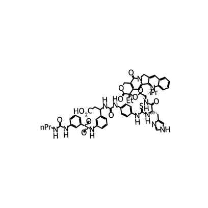 CCCNC(=O)Nc1cccc(S(=O)(=O)Nc2cccc(C(CC(=O)O)NC(=O)Nc3ccc(NC(=S)N[C@@H](Cc4c[nH]cn4)C(=O)N[C@H](C(=O)O[C@]4(CC)C(=O)OCc5c4cc4n(c5=O)Cc5cc6ccccc6nc5-4)C(C)C)cc3)c2)c1